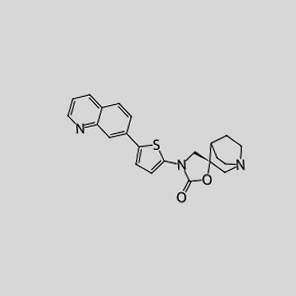 O=C1O[C@]2(CN3CCC2CC3)CN1c1ccc(-c2ccc3cccnc3c2)s1